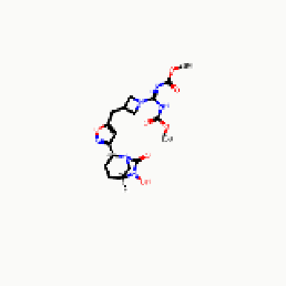 CC(C)(C)OC(=O)/N=C(\NC(=O)OC(C)(C)C)N1CC(Cc2cc([C@@H]3CC[C@H]4CN3C(=O)N4O)no2)C1